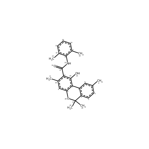 Cc1ccc2c(c1)-c1c(cc(C)c(C(=O)Nc3c(C)cccc3C)c1O)OC2(C)C